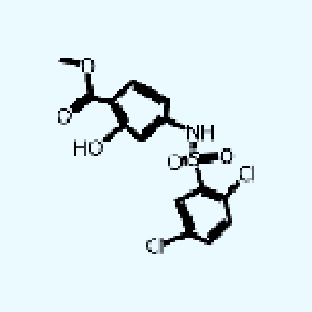 COC(=O)c1ccc(NS(=O)(=O)c2cc(Cl)ccc2Cl)cc1O